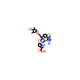 Cc1cc(OCCCc2c3n(c4c(-c5c(C)n[nH]c5C)c(Cl)ccc24)C(C)CN(c2cccc4c(C(=O)O)cn(C)c24)C3=O)cc(C)c1Cl